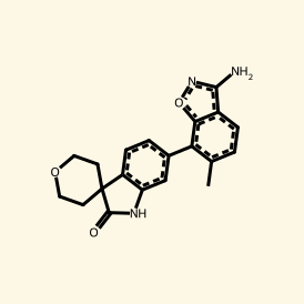 Cc1ccc2c(N)noc2c1-c1ccc2c(c1)NC(=O)C21CCOCC1